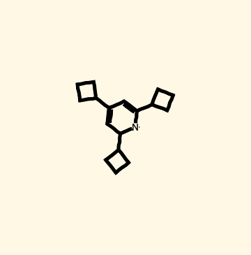 C1=C(C2CCC2)C=C(C2CCC2)[N]C1C1CCC1